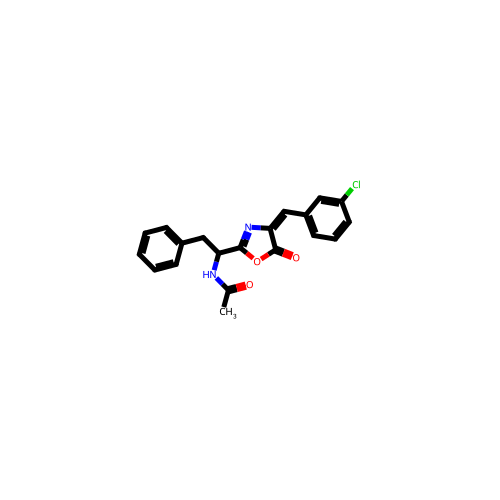 CC(=O)NC(Cc1ccccc1)C1=NC(=Cc2cccc(Cl)c2)C(=O)O1